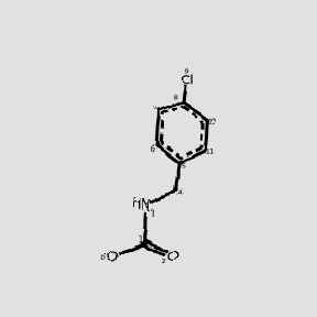 [O]C(=O)NCc1ccc(Cl)cc1